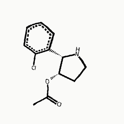 CC(=O)O[C@H]1CCN[C@H]1c1ccccc1Cl